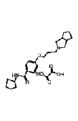 O=C(NC1CCCC1)c1ccc(OCCCN2CC3CCCC3C2)cc1.O=C(O)C(=O)O